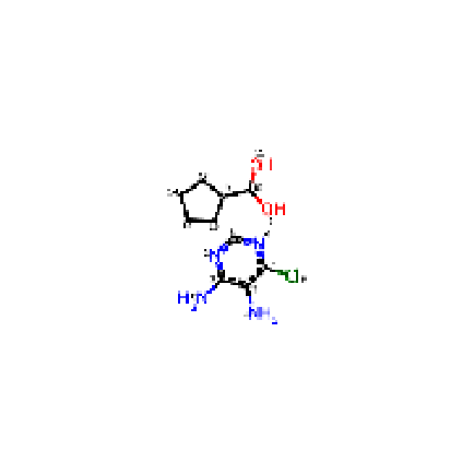 Nc1ncnc(Cl)c1N.OC(O)C1CCCC1